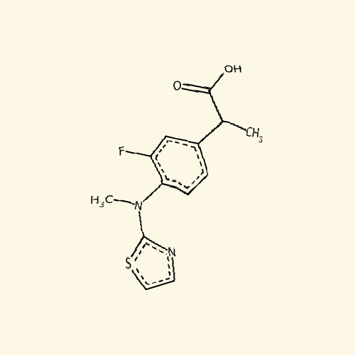 CC(C(=O)O)c1ccc(N(C)c2nccs2)c(F)c1